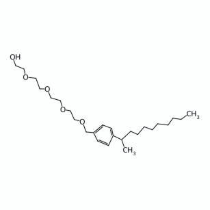 CCCCCCCCCC(C)c1ccc(COCCOCCOCCOCCO)cc1